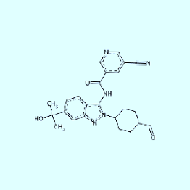 CC(C)(O)c1ccc2c(NC(=O)c3cncc(C#N)c3)n(C3CCC(C=O)CC3)nc2c1